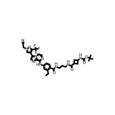 CCc1cc(Nc2nccn3c(-c4cn(CC#N)nc4C(F)(F)F)cnc23)ccc1C(=O)NCCCNC(=O)C1CC(NC(=O)OC(C)(C)C)C1